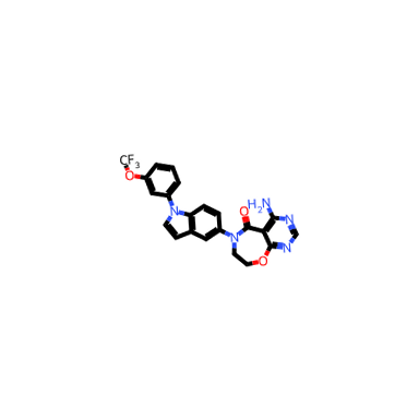 Nc1ncnc2c1C(=O)N(c1ccc3c(ccn3-c3cccc(OC(F)(F)F)c3)c1)CCO2